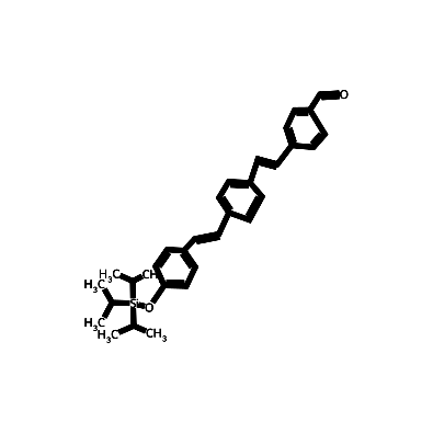 CC(C)[Si](Oc1ccc(/C=C/c2ccc(/C=C/c3ccc(C=O)cc3)cc2)cc1)(C(C)C)C(C)C